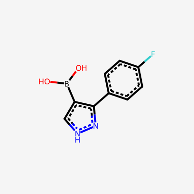 OB(O)c1c[nH]nc1-c1ccc(F)cc1